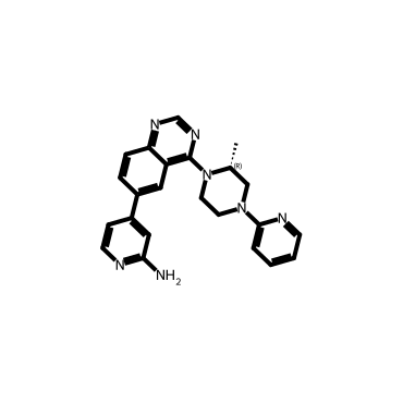 C[C@@H]1CN(c2ccccn2)CCN1c1ncnc2ccc(-c3ccnc(N)c3)cc12